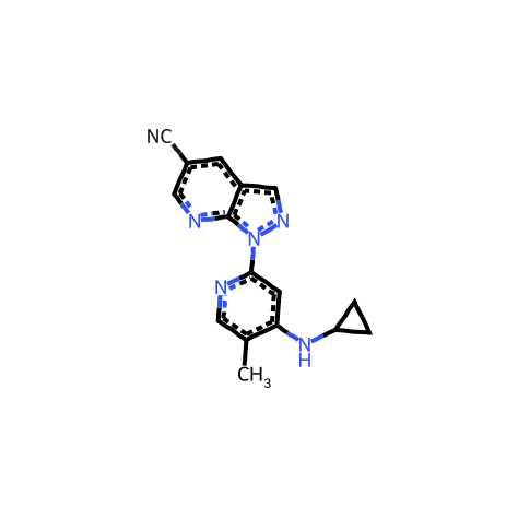 Cc1cnc(-n2ncc3cc(C#N)cnc32)cc1NC1CC1